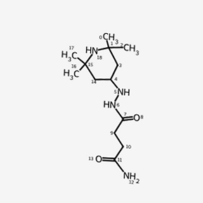 CC1(C)CC(NNC(=O)CCC(N)=O)CC(C)(C)N1